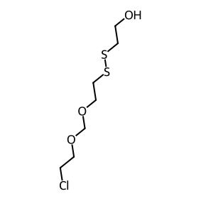 OCCSSCCOCOCCCl